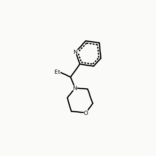 CCC(c1ccccn1)N1CCOCC1